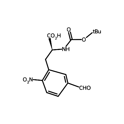 CC(C)(C)OC(=O)N[C@@H](Cc1cc(C=O)ccc1[N+](=O)[O-])C(=O)O